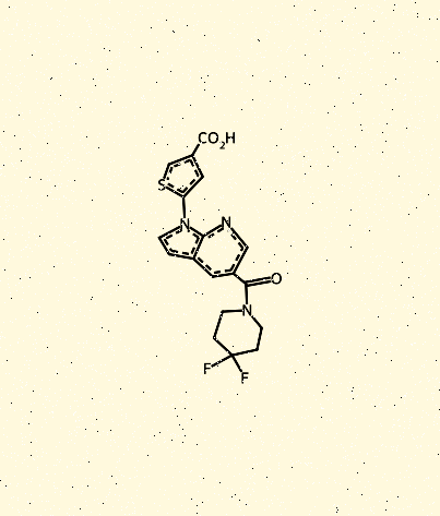 O=C(O)c1csc(-n2ccc3cc(C(=O)N4CCC(F)(F)CC4)cnc32)c1